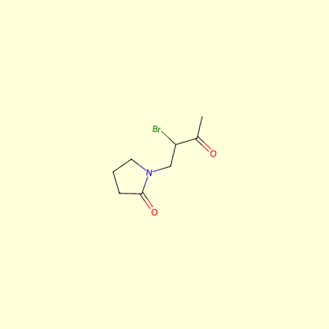 CC(=O)C(Br)CN1CCCC1=O